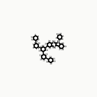 c1ccc(-c2cccc(-c3cc(-c4cccc(-c5ccccc5)c4)cc(-c4ccc5nc6c(nc5c4)c4ccccc4n6-c4ccccc4)c3)c2)cc1